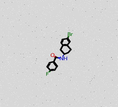 O=C(N[C@@H]1CCc2cc(Br)ccc2C1)c1ccc(F)cc1